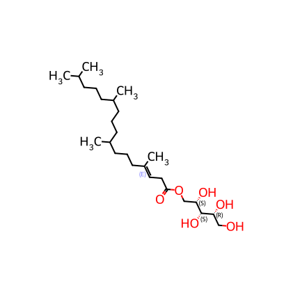 C/C(=C\CC(=O)OC[C@H](O)[C@@H](O)[C@H](O)CO)CCCC(C)CCCC(C)CCCC(C)C